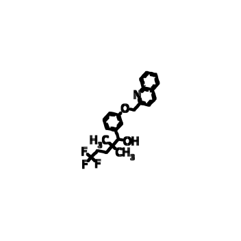 CC(C)(CCC(F)(F)F)C(O)c1cccc(OCc2ccc3ccccc3n2)c1